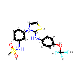 CS(=O)(=O)Nc1cccc(N2C=CSC2Nc2ccc(OC(F)(F)F)cc2)c1